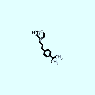 C=C(C)c1ccc(CCCN(/C=C\C)CC)cc1